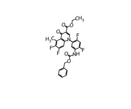 CCOC(=O)c1cn(-c2cc(NC(=O)OCc3ccccc3)c(F)cc2F)c2cc(F)c(F)c(C)c2c1=O